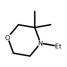 CCN1C[CH]OCC1(C)C